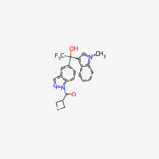 Cn1cc(C(O)(c2ccc3c(cnn3C(=O)C3CCC3)c2)C(F)(F)F)c2ccccc21